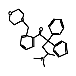 CC(CC(C(=O)c1ccccc1CN1CCOCC1)(c1ccccc1)c1ccccc1)N(C)C